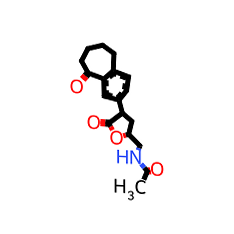 CC(=O)NCC1CC(c2ccc3c(c2)C(=O)CCCC3)C(=O)O1